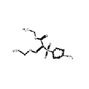 CCOC=C(C(=O)OCC)S(=O)(=O)c1ccc(C)cc1